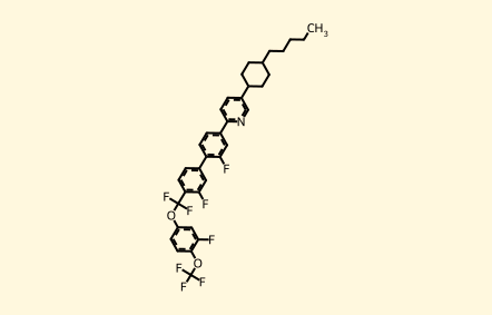 CCCCCC1CCC(c2ccc(-c3ccc(-c4ccc(C(F)(F)Oc5ccc(OC(F)(F)F)c(F)c5)c(F)c4)c(F)c3)nc2)CC1